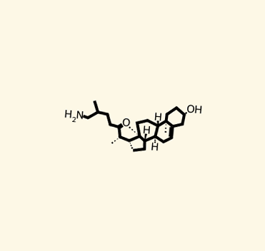 CC(CN)CCC(=O)[C@@H](C)[C@H]1CC[C@H]2[C@@H]3CC=C4C[C@@H](O)CC[C@]4(C)[C@H]3CC[C@]12C